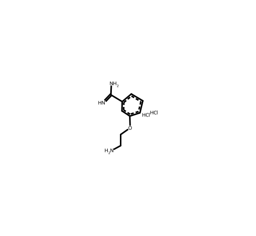 Cl.Cl.N=C(N)c1cccc(OCCN)c1